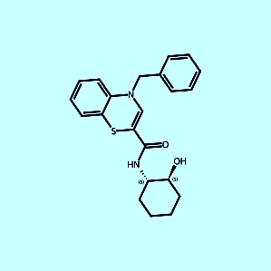 O=C(N[C@H]1CCCC[C@@H]1O)C1=CN(Cc2ccccc2)c2ccccc2S1